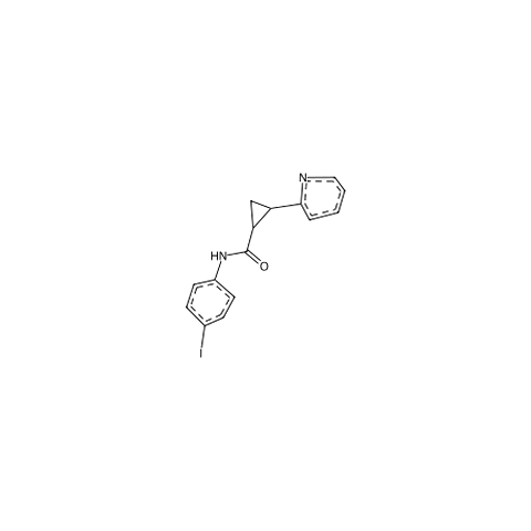 O=C(Nc1ccc(I)cc1)C1CC1c1ccccn1